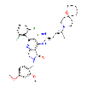 C=N/C(=C\C=C(/C)N1CCC2(CCCCO2)CC1)Nc1cc(-c2c(F)cccc2F)nc2c1C(=O)N(Cc1ccc(OC)cc1OC)C2